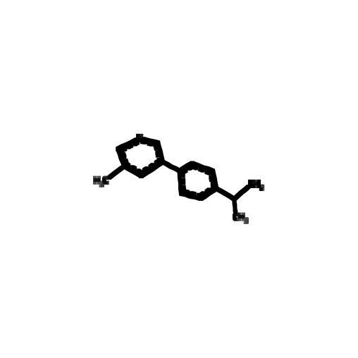 Cc1cncc(-c2ccc(C(C)N)cc2)c1